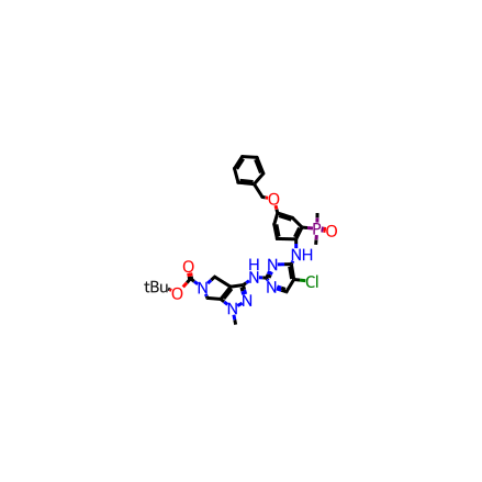 Cn1nc(Nc2ncc(Cl)c(Nc3ccc(OCc4ccccc4)cc3P(C)(C)=O)n2)c2c1CN(C(=O)OC(C)(C)C)C2